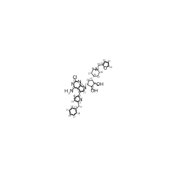 Nc1nc(Cl)nc2c1c(-c1nc(Cc3ccccc3)cs1)cn2[C@@H]1C[C@H](C2CCN(Cc3ccco3)CC2)[C@@H](O)[C@H]1O